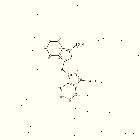 O=S(=O)(O)c1sc(Cc2sc(S(=O)(=O)O)c3c2OCCO3)c2c1OCCO2